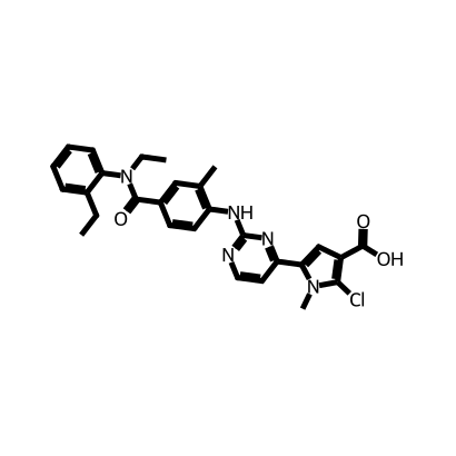 CCc1ccccc1N(CC)C(=O)c1ccc(Nc2nccc(-c3cc(C(=O)O)c(Cl)n3C)n2)c(C)c1